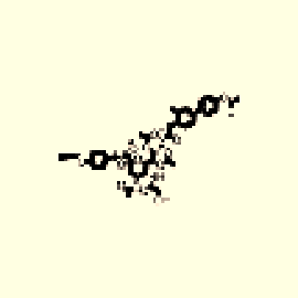 C#CCOc1ccc(CO[C@]2(C(=O)OC)C[C@H](OC(C)=O)[C@@H](NC(=O)CO)[C@H]([C@H](OC(C)=O)[C@@H](CNC(=O)Cc3ccc(-c4ccc(OC(C)=O)cc4)cc3C)OC(C)=O)O2)cc1